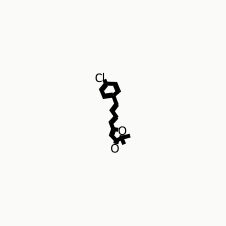 CC1(C)OC(C=CC=Cc2ccc(Cl)cc2)=CC1=O